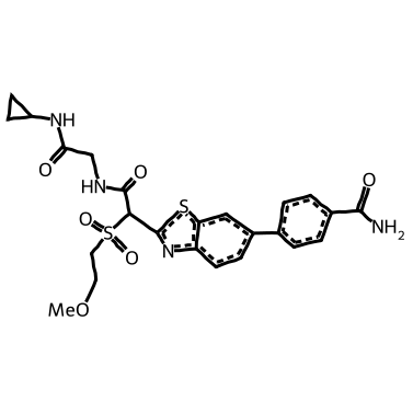 COCCS(=O)(=O)C(C(=O)NCC(=O)NC1CC1)c1nc2ccc(-c3ccc(C(N)=O)cc3)cc2s1